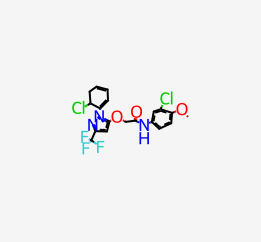 COc1ccc(NC(=O)COc2cc(C(F)(F)F)nn2C2=CC=CCC2Cl)cc1Cl